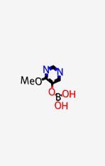 COc1ncncc1OB(O)O